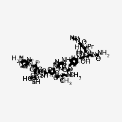 CC(C)[C@H](NC(=O)CN=[N+]=[N-])C(=O)N[C@@H](CCCNC(N)=O)C(O)Nc1ccc(COC(=O)N(C)CCN(C)C(=O)O[C@@H]2C[C@@H](COP(=O)(S)O[C@@H]3C(COP(=O)(O)S)O[C@@H](n4cnc5c(N)ncnc54)[C@@H]3F)O[C@H]2n2cnc3c(N)ncnc32)cc1